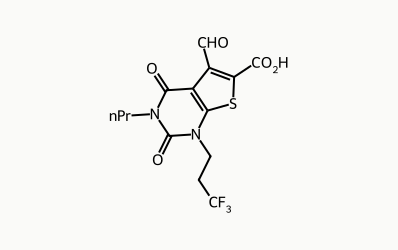 CCCn1c(=O)c2c(C=O)c(C(=O)O)sc2n(CCC(F)(F)F)c1=O